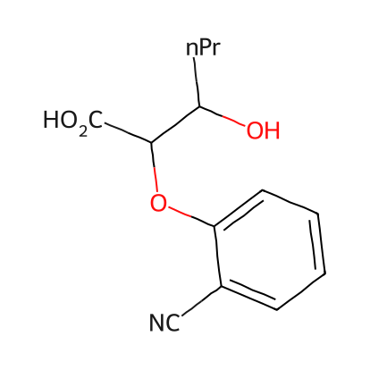 CCCC(O)C(Oc1ccccc1C#N)C(=O)O